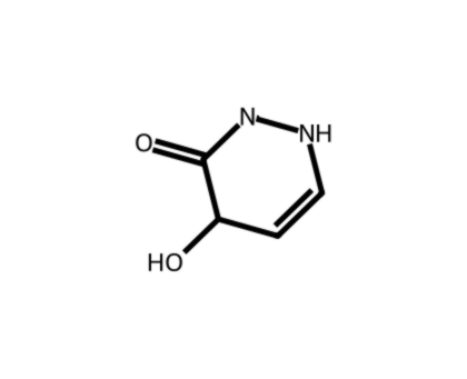 O=C1[N]NC=CC1O